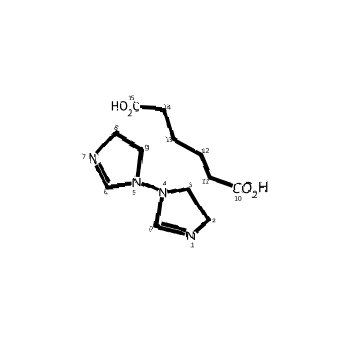 C1=NCCN1N1C=NCC1.O=C(O)CCCCC(=O)O